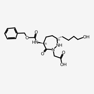 O=C(O)CN1N[C@@H](CCCCO)CC[C@H](NC(=O)OCc2ccccc2)C1=O